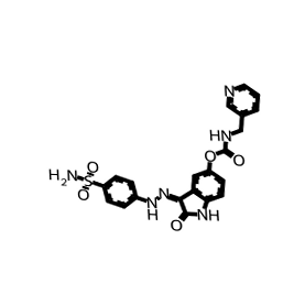 NS(=O)(=O)c1ccc(NN=C2C(=O)Nc3ccc(OC(=O)NCc4cccnc4)cc32)cc1